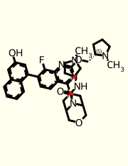 CN1CC[C@@H](NC(=O)N2C3COCC2CN(c2nc(OC[C@@H]4CCCN4C)nc4c(F)c(-c5cc(O)cc6ccccc56)ccc24)C3)C1